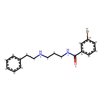 O=C(NCCCNCCc1ccccc1)c1cccc(Br)c1